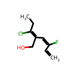 C=C/C(F)=C\C(CO)=C(\Cl)CC